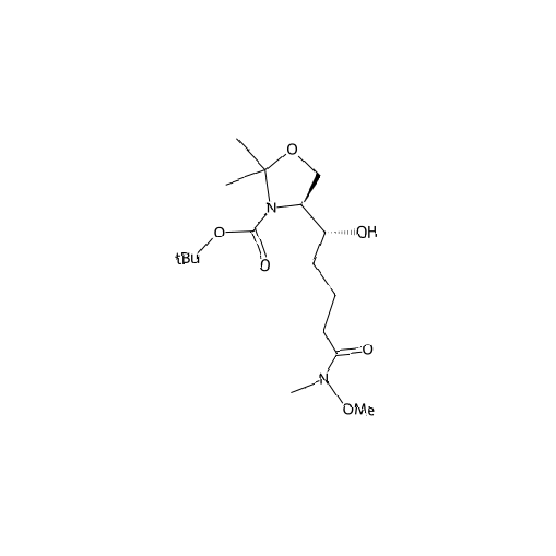 CON(C)C(=O)CCC[C@@H](O)[C@@H]1COC(C)(C)N1C(=O)OC(C)(C)C